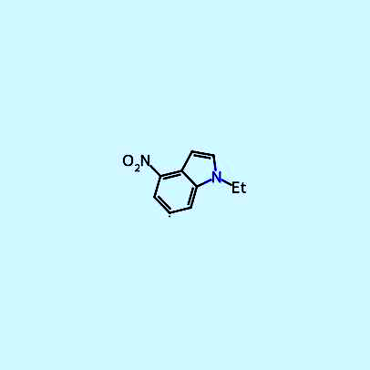 CCn1ccc2c([N+](=O)[O-])c[c]cc21